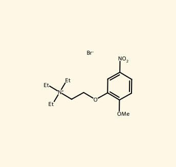 CC[N+](CC)(CC)CCOc1cc([N+](=O)[O-])ccc1OC.[Br-]